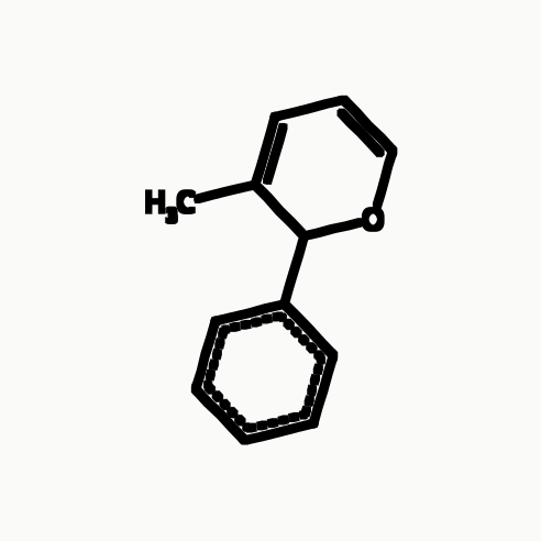 CC1=CC=COC1c1ccccc1